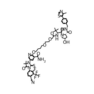 Cc1ncsc1-c1ccc(CNC(=O)[C@@H]2C[C@@H](O)CN2C(=O)[C@@H](NC(=O)COCCOCCCCOc2ncc(N3C(=S)N(c4ccc(C#N)c(C(F)(F)F)c4F)C(=O)C3(C)C)cc2C(N)=O)C(C)(C)C)cc1